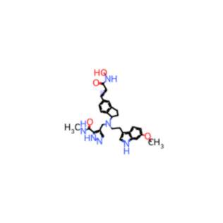 CNC(=O)c1[nH]ncc1CN(CCc1c[nH]c2cc(OC)ccc12)C1CCc2cc(/C=C/C(=O)NO)ccc21